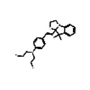 CC1(C)c2ccccc2N2CCOC21/C=C/c1ccc(N(CCCl)CCCl)cc1